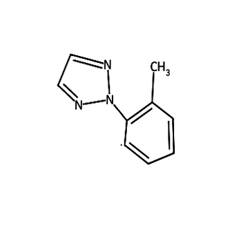 Cc1ccc[c]c1-n1nccn1